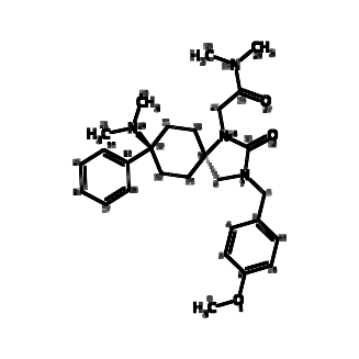 COc1ccc(CN2C[C@]3(CC[C@](c4ccccc4)(N(C)C)CC3)N(CC(=O)N(C)C)C2=O)cc1